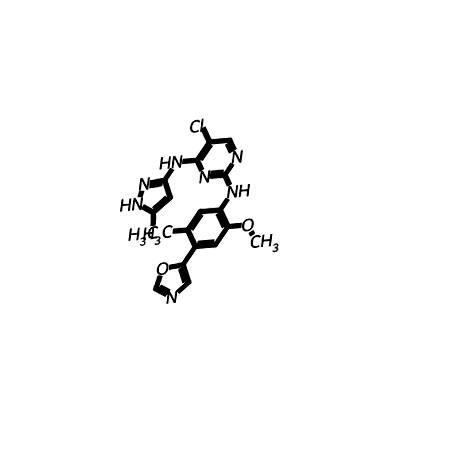 COc1cc(-c2cnco2)c(C)cc1Nc1ncc(Cl)c(Nc2cc(C)[nH]n2)n1